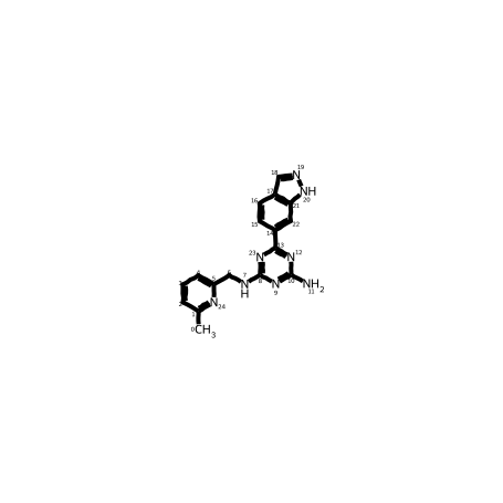 Cc1cccc(CNc2nc(N)nc(-c3ccc4cn[nH]c4c3)n2)n1